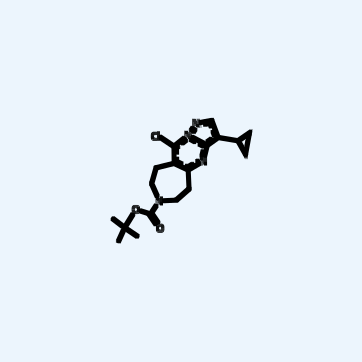 CC(C)(C)OC(=O)N1CCc2nc3c(C4CC4)cnn3c(Cl)c2CC1